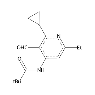 CCc1cc(NC(=O)C(C)(C)C)c(C=O)c(C2CC2)n1